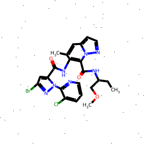 CCC(COC)NC(=O)c1c(NC(=O)c2cc(Br)nn2-c2ncccc2Cl)c(C)cc2ccnn12